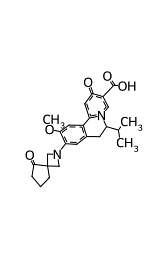 COc1cc2c(cc1N1CC3(CCCC3=O)C1)CC(C(C)C)n1cc(C(=O)O)c(=O)cc1-2